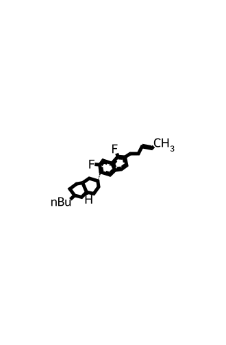 C/C=C/CCc1ccc2cc([C@@H]3CC[C@@H]4CC(CCCC)CCC4C3)c(F)cc2c1F